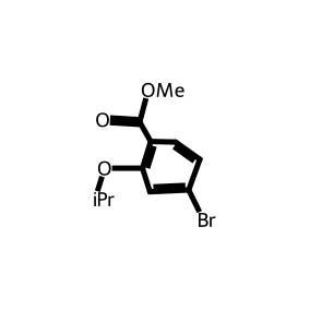 COC(=O)c1ccc(Br)cc1OC(C)C